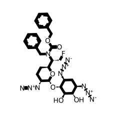 [N-]=[N+]=N[C@H]1C[C@@H](N=[N+]=[N-])[C@H](O)[C@@H](O)[C@@H]1O[C@H]1O[C@H]([C@@H](CF)N(Cc2ccccc2)C(=O)OCc2ccccc2)CC[C@H]1N=[N+]=[N-]